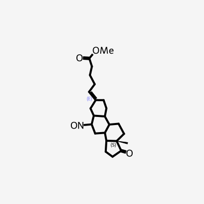 COC(=O)CCC/C=C1\CCC2C(C1)C(N=O)CC1C2CC[C@]2(C)C(=O)CCC12